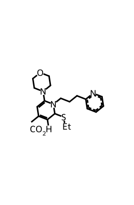 CCSC1C(C(=O)O)=C(C)C=C(N2CCOCC2)N1CCCc1ccccn1